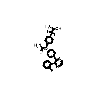 CCc1ccccc1-c1nccnc1-c1ccc([C@H](C(N)=O)c2ccc(C(F)(F)C(C)O)cc2)cc1